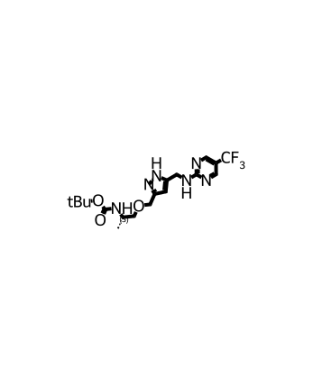 C[C@@H](COCc1cc(CNc2ncc(C(F)(F)F)cn2)[nH]n1)NC(=O)OC(C)(C)C